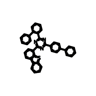 c1ccc(-c2ccc(-c3nc(-c4ccccc4-c4ccccc4)nc(-c4cccc5c4sc4ccccc45)n3)cc2)cc1